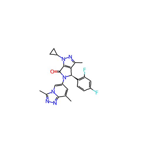 Cc1nn(C2CC2)c2c1[C@@H](c1ccc(F)cc1F)N(c1cc(C)c3nnc(C)n3c1)C2=O